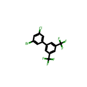 FC(F)(F)c1cc(-c2cc(Cl)cc(Br)c2)cc(C(F)(F)F)c1